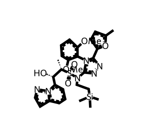 COc1cccc(OC)c1-n1c(-c2ccc(C)o2)nnc1N(CC[Si](C)(C)C)S(=O)(=O)[C@@H](C)[C@@H](O)c1cccc2ccnn12